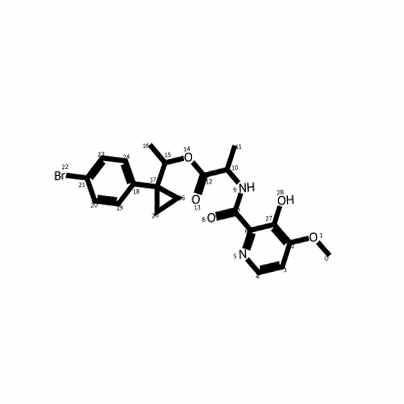 COc1ccnc(C(=O)NC(C)C(=O)OC(C)C2(c3ccc(Br)cc3)CC2)c1O